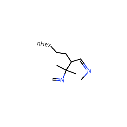 C=NC(C)(C)C(/C=N\C)CCCCCCCC